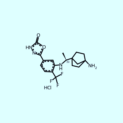 C[C@H](Nc1cc(-c2n[nH]c(=O)o2)ccc1C(F)(F)F)C12CCC(N)(CC1)C2.Cl